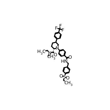 CCN(C)C(=O)[C@@H]1CCC(c2ccc(C(F)(F)F)cc2)CN1c1ccc(C(=O)NCc2ccc(S(=O)(=O)CC)cc2)cc1